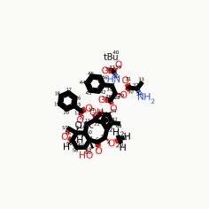 [2H]C([2H])([2H])O[C@H]1C(=O)[C@@]2(C)[C@H]([C@H](OC(=O)c3ccccc3)[C@]3(O)C[C@H](OC(=O)[C@H](OC(=O)C(C)N)[C@@H](NC(=O)OC(C)(C)C)c4ccccc4)C(C)=C1C3(C)C)[C@]1(OC(C)=O)CO[C@@H]1C[C@@H]2O